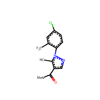 CNC(=O)c1cnn(-c2ccc(Cl)cc2C(F)(F)F)c1C#N